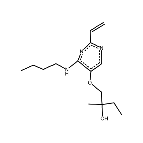 C=Cc1ncc(OCC(C)(O)CC)c(NCCCC)n1